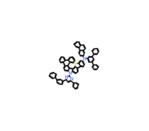 c1ccc(-c2cccc(-c3cc(-c4ccccc4)nc(-n4c5ccc6c7ccc(N(c8cc(-c9ccccc9)cc(-c9ccccc9)c8)c8ccc9c(ccc%10ccccc%109)c8)cc7sc6c5c5c6c7ccccc7c7ccccc7c6ccc54)n3)c2)cc1